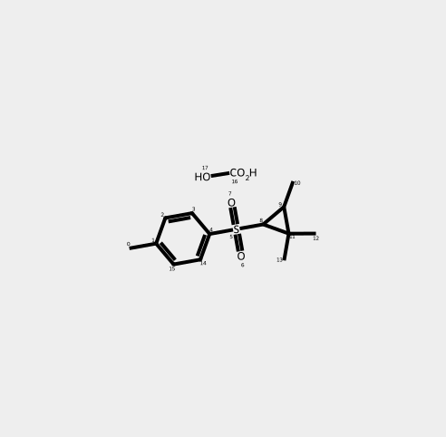 Cc1ccc(S(=O)(=O)C2C(C)C2(C)C)cc1.O=C(O)O